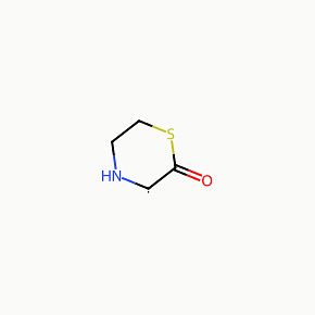 O=C1[CH]NCCS1